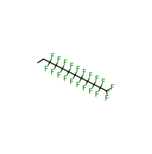 CCC(F)(F)C(F)(F)C(F)(F)C(F)(F)C(F)(F)C(F)(F)C(F)(F)C(F)(F)C(F)(F)[C](F)F